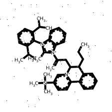 C=C(CC1C(CCC)c2ccccc2-c2ccc([Si](C)(C)C)c[n+]21)[n+]1c(C)n(-c2c(C(C)C)cccc2C(C)C)c2ccccc21